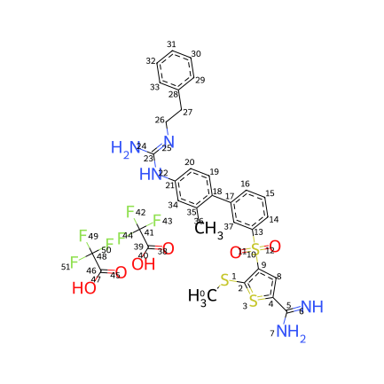 CSc1sc(C(=N)N)cc1S(=O)(=O)c1cccc(-c2ccc(NC(N)=NCCc3ccccc3)cc2C)c1.O=C(O)C(F)(F)F.O=C(O)C(F)(F)F